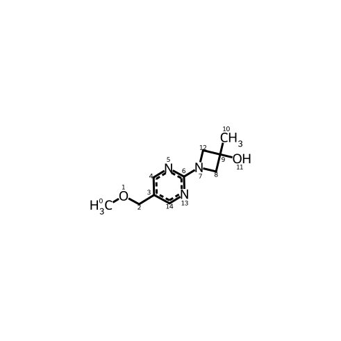 COCc1cnc(N2CC(C)(O)C2)nc1